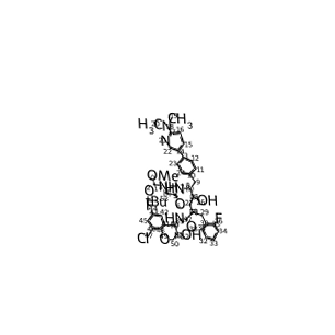 COC(=O)N[C@H](C(=O)N[C@@H](Cc1ccc(-c2ccc(N(C)C)nc2)cc1)[C@@H](O)C[C@@H](Cc1ccccc1F)C(=O)N[C@H]1c2cc(F)cc(Cl)c2OC[C@H]1O)C(C)(C)C